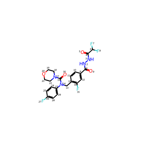 O=C(NNC(=O)C(F)F)c1ccc(CN(C(=O)N2CCOCC2)c2ccc(F)cc2)c(F)c1